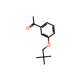 CC(=O)c1cccc(OCC(C)(C)C)c1